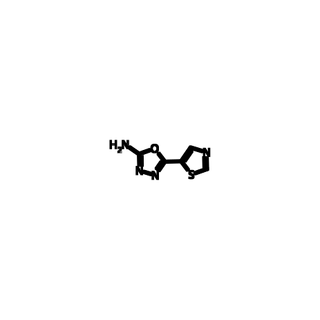 Nc1nnc(-c2cncs2)o1